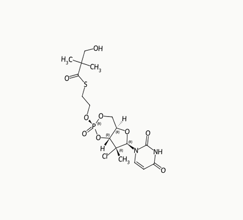 CC(C)(CO)C(=O)SCCO[P@@]1(=O)OC[C@H]2O[C@@H](n3ccc(=O)[nH]c3=O)[C@](C)(Cl)[C@@H]2O1